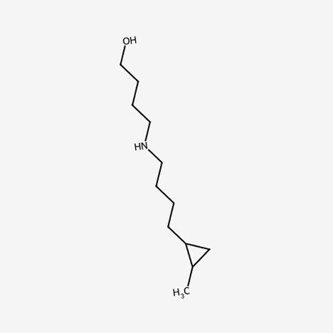 CC1CC1CCCCNCCCCO